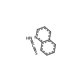 N=C=S.c1ccc2ncccc2c1